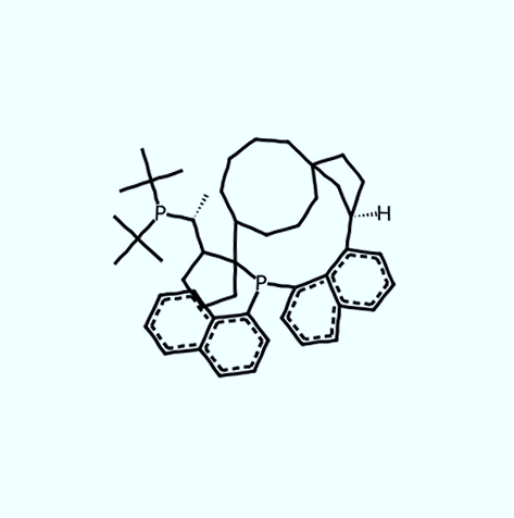 C[C@H](C1CCCC12C1CCCCC3(CCC1)CC[C@H](C3)c1cccc3cccc(c13)P2c1cccc2ccccc12)P(C(C)(C)C)C(C)(C)C